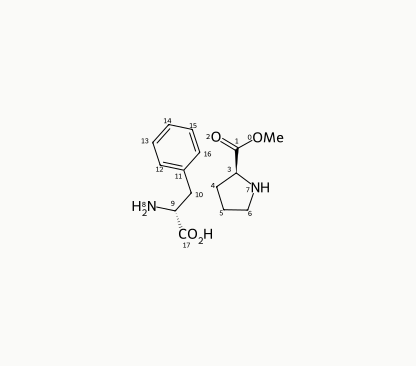 COC(=O)[C@@H]1CCCN1.N[C@H](Cc1ccccc1)C(=O)O